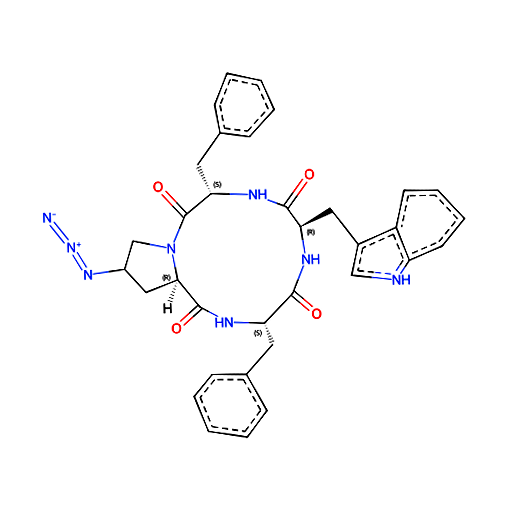 [N-]=[N+]=NC1C[C@@H]2C(=O)N[C@@H](Cc3ccccc3)C(=O)N[C@H](Cc3c[nH]c4ccccc34)C(=O)N[C@@H](Cc3ccccc3)C(=O)N2C1